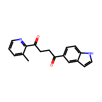 Cc1cccnc1C(=O)CCC(=O)c1ccc2[nH]ccc2c1